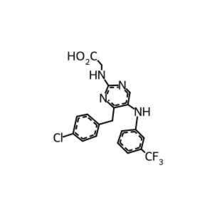 O=C(O)CNc1ncc(Nc2cccc(C(F)(F)F)c2)c(Cc2ccc(Cl)cc2)n1